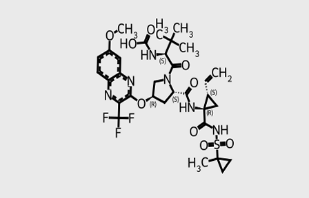 C=C[C@@H]1C[C@]1(NC(=O)[C@@H]1C[C@@H](Oc2nc3cc(OC)ccc3nc2C(F)(F)F)CN1C(=O)[C@@H](NC(=O)O)C(C)(C)C)C(=O)NS(=O)(=O)C1(C)CC1